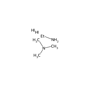 CCN.CN(C)C.I.I